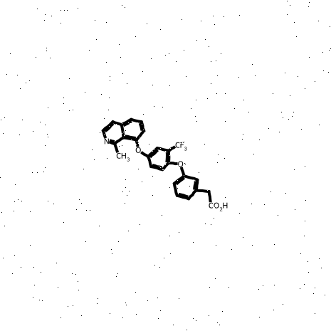 Cc1nccc2cccc(Oc3ccc(Oc4cccc(CC(=O)O)c4)c(C(F)(F)F)c3)c12